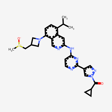 CC(C)c1ccc(N2CC(C[S+](C)[O-])C2)c2cnc(Nc3ccnc(-c4cnn(C(=O)C5CC5)c4)n3)cc12